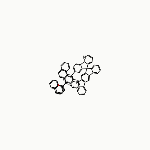 c1ccc(-c2nc(-c3ccccc3)nc(-n3c4ccccc4c4cc5c(cc43)C3(c4ccccc4-5)c4cc(-c5c6ccccc6c(-c6cccc7ccccc67)c6ccccc56)ccc4-c4ncccc43)n2)cc1